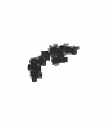 C=CC(=O)N1CCN(/C(=N/C)c2cc(F)c(-c3c(O)cccc3F)nc2N(C=O)c2c(C)ccc(CNC(=O)CC3CC(Nc4cccc5c4C(=O)N(C4CCC(=O)NC4=O)C5=O)C3)c2C)C(C)C1